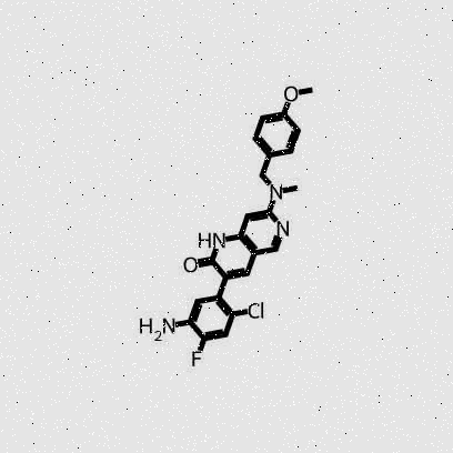 COc1ccc(CN(C)c2cc3[nH]c(=O)c(-c4cc(N)c(F)cc4Cl)cc3cn2)cc1